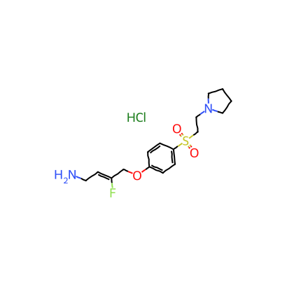 Cl.NCC=C(F)COc1ccc(S(=O)(=O)CCN2CCCC2)cc1